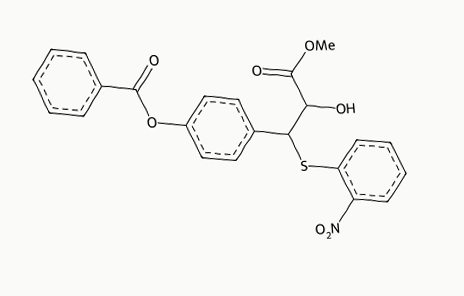 COC(=O)C(O)C(Sc1ccccc1[N+](=O)[O-])c1ccc(OC(=O)c2ccccc2)cc1